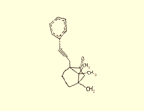 CC12CCC(C#Cc3ccccc3)(C(=O)C1)C2(C)C